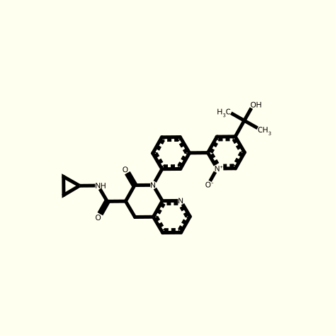 CC(C)(O)c1cc[n+]([O-])c(-c2cccc(N3C(=O)C(C(=O)NC4CC4)Cc4cccnc43)c2)c1